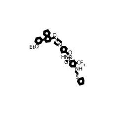 CCOc1cccc(-c2ccc(C(=O)N3CCN(c4ccc(C(=O)NS(=O)(=O)c5ccc(NCCSc6ccccc6)c(C(F)(F)F)c5)cc4)CC3)c3ccccc23)c1